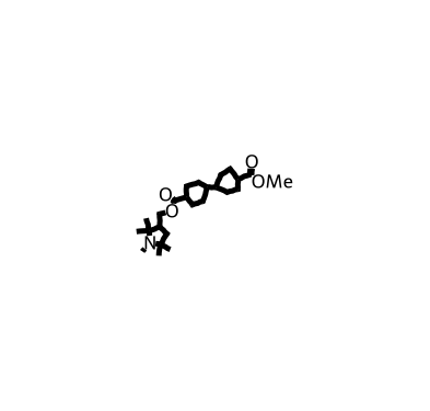 COC(=O)C1CCC(C2CCC(C(=O)OCC3CC(C)(C)N(C)C3(C)C)CC2)CC1